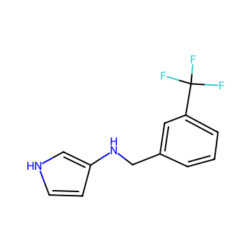 FC(F)(F)c1cccc(CNc2cc[nH]c2)c1